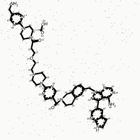 NCc1cnc(N2CCN(C(=O)CCOCCN3CCN(c4ncc(C(=O)N5CCc6cc(Cn7nc(-c8cnc9[nH]ccc9c8)c8c(N)ncnc87)ccc6C5)cn4)CC3)[C@@H](C(=O)O)C2)nc1